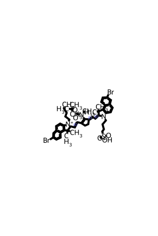 CCCCC[N+]1=C(/C=C/C2=C(N(C)C(=O)OC(C)(C)C)C(=C/C=C3/N(CCCCS(=O)(=O)O)c4ccc5cc(Br)ccc5c4C3(C)C)/CC2)C(C)(C)c2c1ccc1cc(Br)ccc21